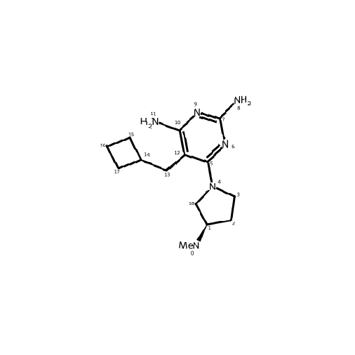 CN[C@@H]1CCN(c2nc(N)nc(N)c2CC2CCC2)C1